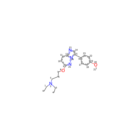 CCN(CC)CCCOc1ccc2ncc(-c3ccc(OC)cc3)n2n1